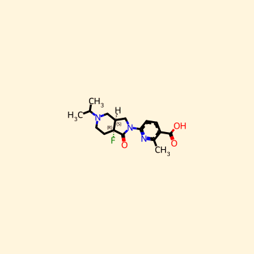 Cc1nc(N2C[C@@H]3CN(C(C)C)CC[C@]3(F)C2=O)ccc1C(=O)O